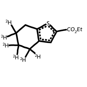 [2H]C1([2H])Cc2sc(C(=O)OCC)cc2C([2H])([2H])C1([2H])[2H]